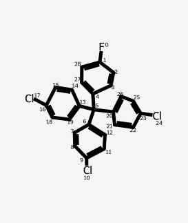 Fc1ccc(C(c2ccc(Cl)cc2)(c2ccc(Cl)cc2)c2ccc(Cl)cc2)cc1